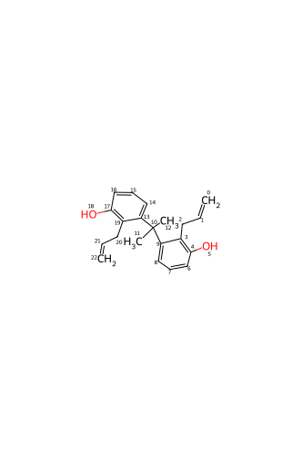 C=CCc1c(O)cccc1C(C)(C)c1cccc(O)c1CC=C